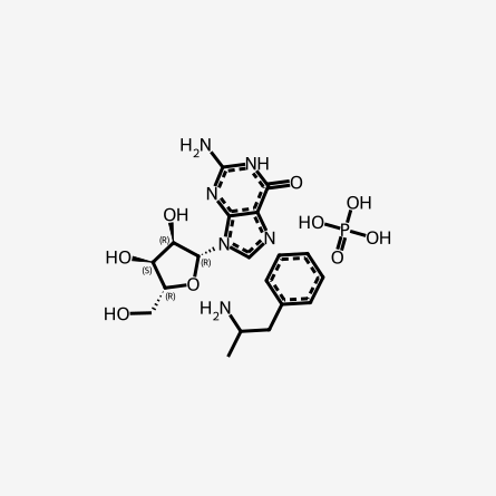 CC(N)Cc1ccccc1.Nc1nc2c(ncn2[C@@H]2O[C@H](CO)[C@@H](O)[C@H]2O)c(=O)[nH]1.O=P(O)(O)O